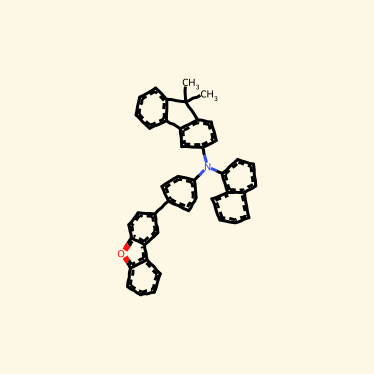 CC1(C)c2ccccc2-c2cc(N(c3ccc(-c4ccc5oc6ccccc6c5c4)cc3)c3cccc4ccccc34)ccc21